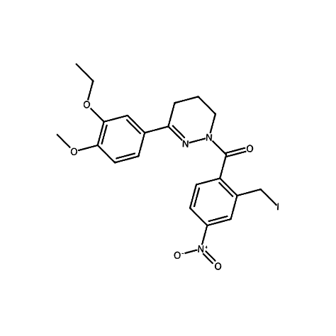 CCOc1cc(C2=NN(C(=O)c3ccc([N+](=O)[O-])cc3CI)CCC2)ccc1OC